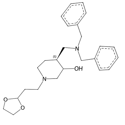 OC1CN(CCC2OCCO2)CC[C@H]1CN(Cc1ccccc1)Cc1ccccc1